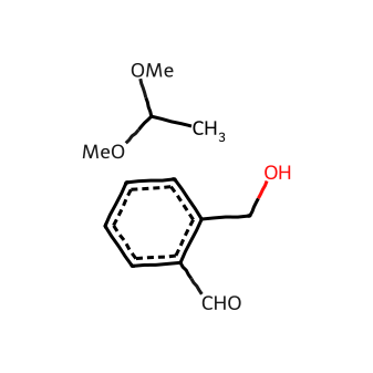 COC(C)OC.O=Cc1ccccc1CO